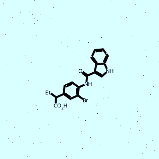 CCC(C(=O)O)c1ccc(NC(=O)c2c[nH]c3ccccc23)c(Br)c1